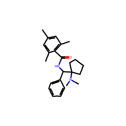 Cc1cc(C)c(C(=O)NC(c2ccccc2)C2(N(C)C)CCCC2)c(C)c1